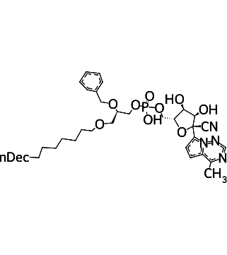 CCCCCCCCCCCCCCCCCOC[C@H](COP(=O)(O)OC[C@H]1O[C@@](C#N)(c2ccc3c(C)ncnn23)[C@H](O)[C@@H]1O)OCc1ccccc1